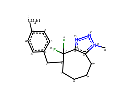 CCOC(=O)c1ccc(CC2CCCCc3c(nnn3C)C2(F)F)cc1